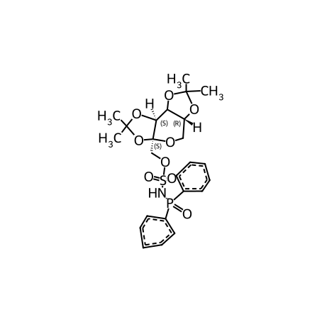 CC1(C)OC2[C@@H](CO[C@@]3(COS(=O)(=O)NP(=O)(c4ccccc4)c4ccccc4)OC(C)(C)O[C@@H]23)O1